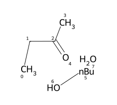 CCC(C)=O.CCCCO.O